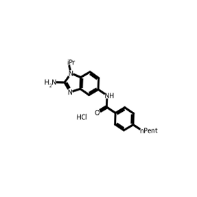 CCCCCc1ccc(C(=O)Nc2ccc3c(c2)nc(N)n3C(C)C)cc1.Cl